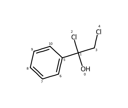 OC(Cl)(CCl)c1ccccc1